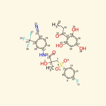 CC(O)(CS(=O)(=O)c1ccc(F)cc1)C(=O)Nc1ccc(C#N)c(C(F)(F)F)c1.CCC(=O)c1c(O)cc(O)cc1O